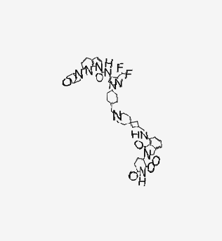 O=C1CCC(N2C(=O)c3cccc(NCC4CC5(CCN(CC6CCC(n7cc(NC(=O)n8ccc9ccc(N%10CC%11CC%10CO%11)nc98)c(C(F)F)n7)CC6)CC5)C4)c3C2=O)C(=O)N1